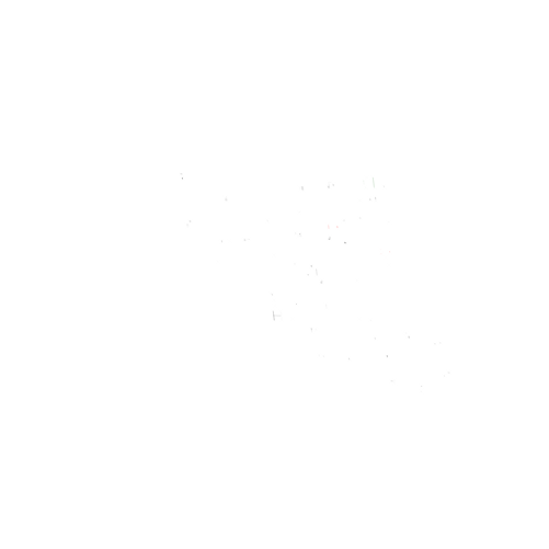 Cc1ccc(-c2ccccc2)c2c1[CH]([Zr+2][CH]1C(c3ccco3)=Cc3c(-c4ccccc4)ccc(C)c31)C(c1ccco1)=C2.[Cl-].[Cl-]